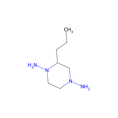 CCCC1CN(N)CCN1N